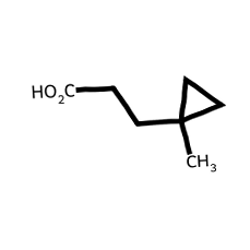 CC1(CCC(=O)O)CC1